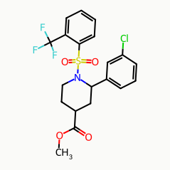 COC(=O)C1CCN(S(=O)(=O)c2ccccc2C(F)(F)F)C(c2cccc(Cl)c2)C1